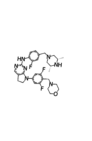 C[C@@H]1CN(Cc2ccc(Nc3ncc4c(n3)N(c3cc(F)c(CN5CCOCC5)c(F)c3)CC4)c(F)c2)C[C@H](C)N1